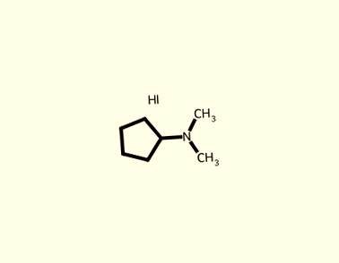 CN(C)C1CCCC1.I